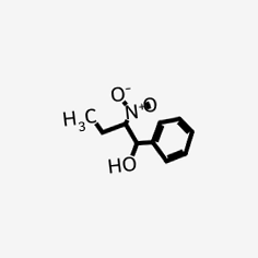 CCC(C(O)c1ccccc1)[N+](=O)[O-]